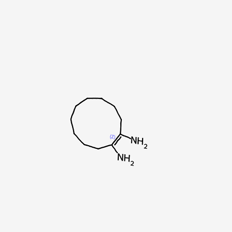 N/C1=C(\N)CCCCCCCCC1